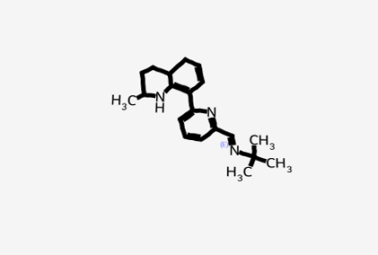 CC1CCC2CC=CC(c3cccc(/C=N/C(C)(C)C)n3)=C2N1